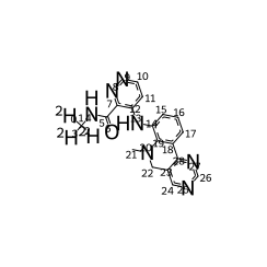 [2H]C([2H])([2H])NC(=O)c1nnccc1Nc1cccc2c1N(C)Cc1cncnc1-2